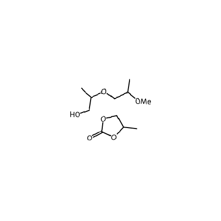 CC1COC(=O)O1.COC(C)COC(C)CO